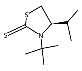 CC(C)[C@@H]1CSC(=S)N1C(C)(C)C